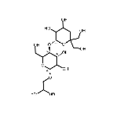 CCCC(CCC)CO[C@@H]1OC(CO)[C@@H](O[C@H]2OC(CO)(CO)CC(O)C2O)[C@H](O)C1O